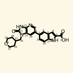 O=C(O)c1cc2cc(-c3cnc4[nH]c(=O)n(CC5CCOCC5)c4c3)ccc2[nH]1